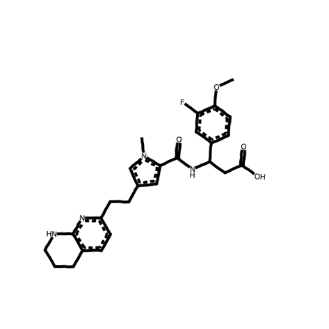 COc1ccc(C(CC(=O)O)NC(=O)c2cc(CCc3ccc4c(n3)NCCC4)cn2C)cc1F